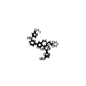 Cn1cc(Nc2nccc(-c3ccc4c(c3)CCN(CC(C)(C)O)C[C@@H]4NC(=O)c3nnc(C(C)(C)C)o3)n2)cn1